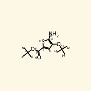 CC(C)(C)OC(=O)c1cc(OC(C)(C)C)c(N)s1